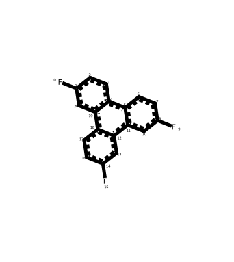 Fc1ccc2c3ccc(F)cc3c3cc(F)ccc3c2c1